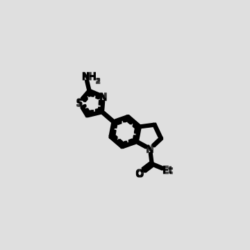 CCC(=O)N1CCc2cc(-c3csc(N)n3)ccc21